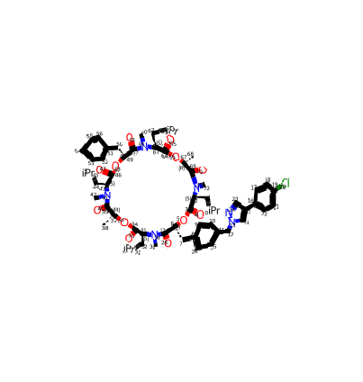 CC(C)C[C@H]1C(=O)O[C@H](Cc2ccc(Cn3cc(-c4ccc(Cl)cc4)cn3)cc2)C(=O)N(C)[C@@H](CC(C)C)C(=O)O[C@H](C)C(=O)N(C)[C@@H](CC(C)C)C(=O)O[C@H](Cc2ccccc2)C(=O)N(C)[C@@H](CC(C)C)C(=O)O[C@H](C)C(=O)N1C